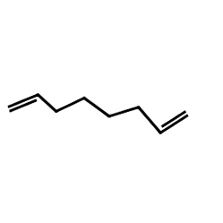 C=CCCCCC=C